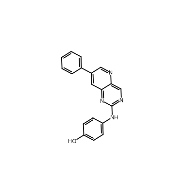 Oc1ccc(Nc2ncc3ncc(-c4ccccc4)cc3n2)cc1